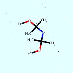 CC(C)OC(C)(C)[N]C(C)(C)OC(C)C